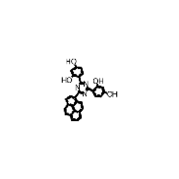 Oc1ccc(-c2nc(-c3ccc(O)cc3O)nc(-c3ccc4ccc5cccc6ccc3c4c56)n2)c(O)c1